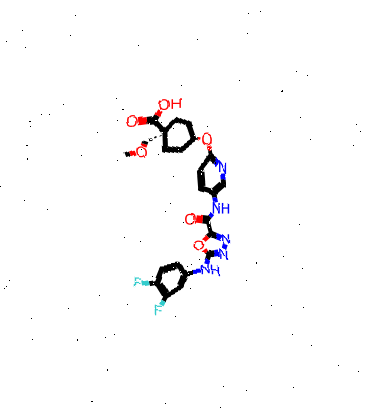 COC[C@]1(C(=O)O)CC[C@H](Oc2ccc(NC(=O)c3nnc(Nc4ccc(F)c(F)c4)o3)cn2)CC1